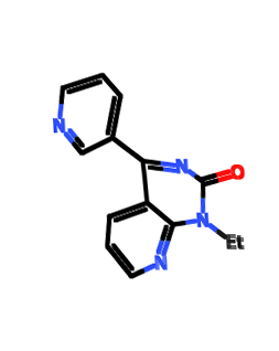 CCn1c(=O)nc(-c2cccnc2)c2cccnc21